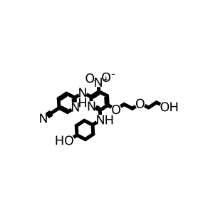 N#Cc1ccc(Nc2nc(NC3CCC(O)CC3)c(OCCOCCO)cc2[N+](=O)[O-])nc1